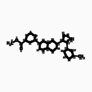 COC(=O)c1ccnc(-c2cnc3ccc(-c4nc[nH]c4-c4cccc(C)n4)cc3c2)c1